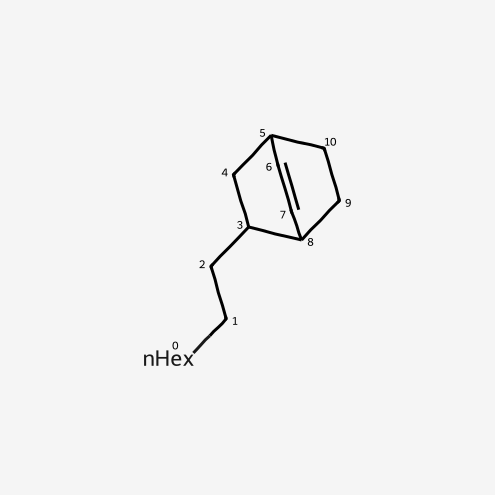 CCCCCCCCC1CC2C=CC1CC2